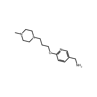 CN1CCN(CCCOc2ccc(CN)cn2)CC1